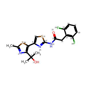 Cc1nc(C(C)(C)O)c(-c2csc(NC(=O)Cc3c(F)cccc3F)n2)s1